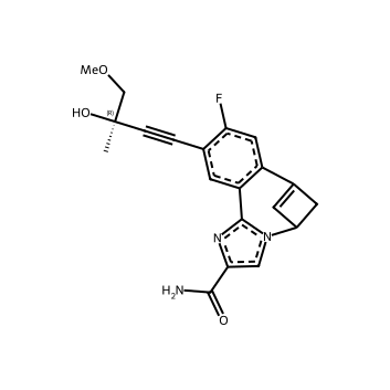 COC[C@](C)(O)C#Cc1cc2c(cc1F)C1=CC(C1)n1cc(C(N)=O)nc1-2